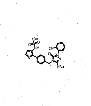 CCCCc1nn(-c2ccccc2Cl)c(=O)n1Cc1ccc(-c2sccc2NS(=O)(=O)C(C)(C)C)cc1